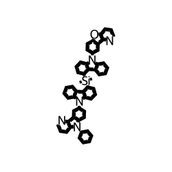 C[Si](C)(c1cccc2c1c1ccccc1n2-c1ccc2oc3cccnc3c2c1)c1cccc2c1c1ccccc1n2-c1ccc2c(c1)c1ncccc1n2-c1ccccc1